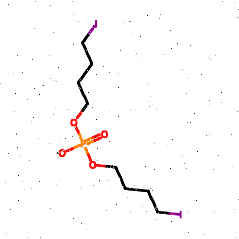 [O]P(=O)(OCCCCI)OCCCCI